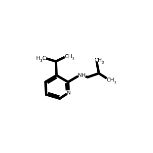 CC(C)CNc1ncccc1C(C)C